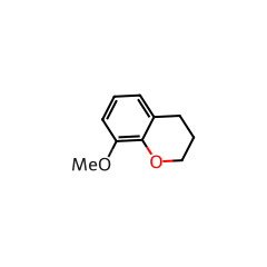 COc1cccc2c1OCCC2